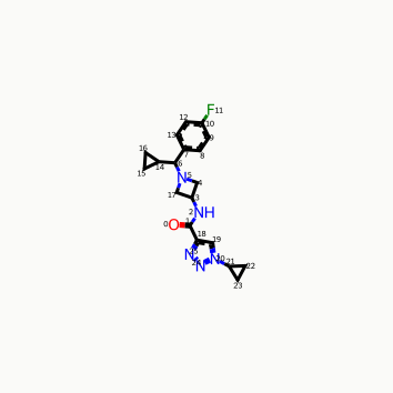 O=C(NC1CN(C(c2ccc(F)cc2)C2CC2)C1)c1cn(C2CC2)nn1